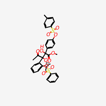 COC(=O)C(O)(c1ccc(OS(=O)(=O)c2ccc(C)cc2)cc1)C(O[Si](C)(C)C)(C(C)=O)c1ccccc1OS(=O)(=O)c1ccccc1